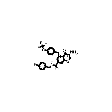 N[C@H]1CSC2=CC(C(=O)NCc3ccc(F)cc3)=CN(Cc3ccc(OC(F)(F)F)cc3)C2C1=O